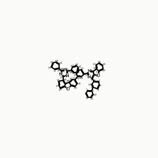 c1ccc(-c2cccc(-c3nc(-c4cccc(-c5ccc6oc7cccc(-c8nc(-c9ccccc9)nc(-c9ccccc9)n8)c7c6c5)c4)nc4c3oc3ccccc34)c2)cc1